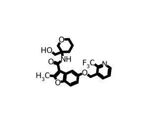 Cc1oc2ccc(OCc3cccnc3C(F)(F)F)cc2c1C(=O)NC1(CO)CCCOC1